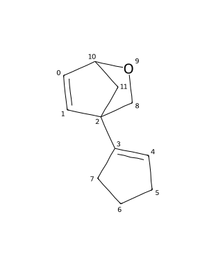 C1=CC2(C3=CCCC3)COC1C2